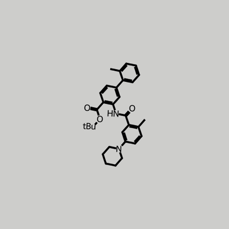 Cc1ccc(N2CCCCC2)cc1C(=O)Nc1cc(-c2ccccc2C)ccc1C(=O)OC(C)(C)C